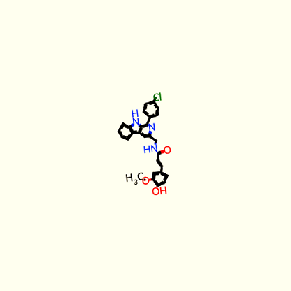 COc1cc(/C=C/C(=O)NCc2cc3c([nH]c4ccccc43)c(-c3ccc(Cl)cc3)n2)ccc1O